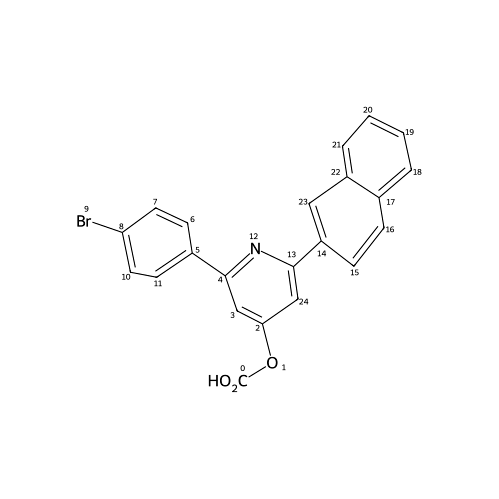 O=C(O)Oc1cc(-c2ccc(Br)cc2)nc(-c2ccc3ccccc3c2)c1